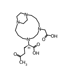 CC(=O)CC[C@H](C(=O)O)N1CCCN2CCN(CCCN(CC(=O)O)CC1)CC2